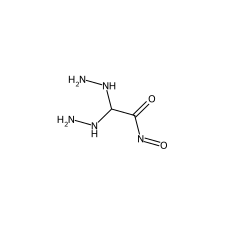 NNC(NN)C(=O)N=O